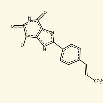 CCn1c(=O)[nH]c(=O)c2nc(-c3ccc(C=CC(=O)O)cc3)[nH]c21